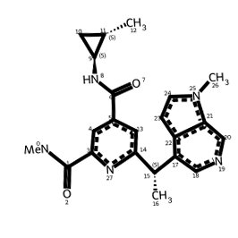 CNC(=O)c1cc(C(=O)N[C@H]2C[C@@H]2C)cc([C@@H](C)c2cncc3c2ccn3C)n1